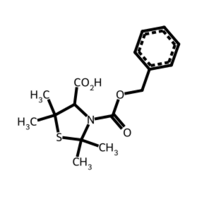 CC1(C)SC(C)(C)N(C(=O)OCc2ccccc2)C1C(=O)O